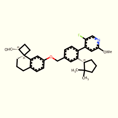 COc1cc(-c2ccc(COc3ccc4c(c3)[C@]3(CCC4)CC[C@H]3C=O)cc2[C@@H]2CCCC2(C)C)c(F)cn1